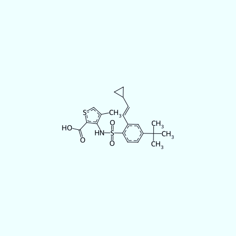 Cc1csc(C(=O)O)c1NS(=O)(=O)c1ccc(C(C)(C)C)cc1C=CC1CC1